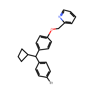 CCc1ccc(C(c2ccc(OCc3ccccn3)cc2)C2CCC2)cc1